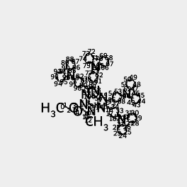 CCCOOc1nc2c(nc1CC)c1nc(-c3ccc(-n4c5ccccc5c5ccccc54)cc3)c(-c3ccc(-n4c5ccccc5c5ccccc54)cc3)nc1c1nc(-c3ccc(-n4c5ccccc5c5ccccc54)cc3)c(-c3ccc(-n4c5ccccc5c5ccccc54)cc3)nc21